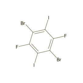 Fc1c(Br)c(I)c(F)c(Br)c1I